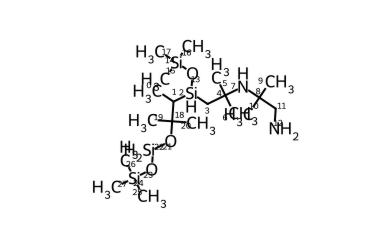 CC([SiH](CC(C)(C)NC(C)(C)CN)O[Si](C)(C)C)C(C)(C)O[SiH2]O[Si](C)(C)C